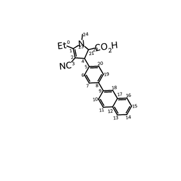 CCC1=C(C#N)C(c2ccc(-c3ccc4ccccc4c3)cc2)C(C(=O)O)N1C